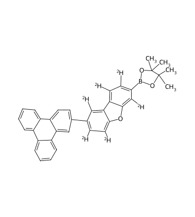 [2H]c1c(-c2ccc3c4ccccc4c4ccccc4c3c2)c([2H])c2c(oc3c([2H])c(B4OC(C)(C)C(C)(C)O4)c([2H])c([2H])c32)c1[2H]